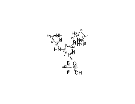 Cc1cc(Nc2cc(C)[nH]n2)nc(N2C[C@H]3CC[C@@H](C2)N3)n1.O=C(O)C(F)(F)F